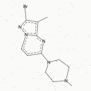 Cc1c(Br)nn2ccc(N3CCN(C)CC3)nc12